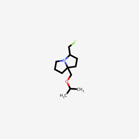 CC(C)OCC12CCCN1C(CF)CC2